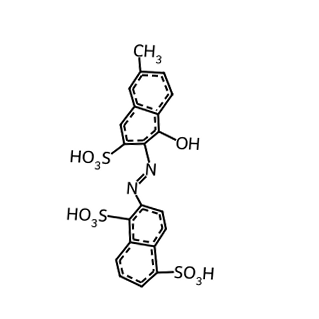 Cc1ccc2c(O)c(N=Nc3ccc4c(S(=O)(=O)O)cccc4c3S(=O)(=O)O)c(S(=O)(=O)O)cc2c1